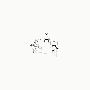 CC1(C)OC2[C@@H](COP(=O)(O)OP(=O)(O)OP(=O)(O)O)O[C@@H](n3cnc4c(=O)[nH]c(N)nc43)[C@H]2O1